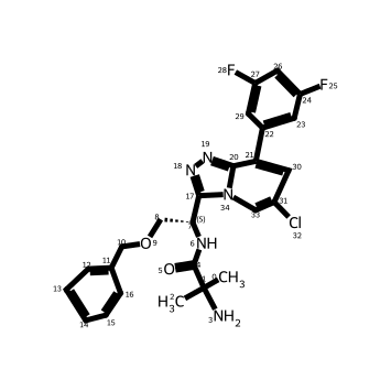 CC(C)(N)C(=O)N[C@H](COCc1ccccc1)c1nnc2c(-c3cc(F)cc(F)c3)cc(Cl)cn12